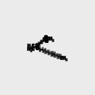 C=C(C)C(OCCCCCCCCCCCCCCCC)OCCCCCOS(C)(=O)=O